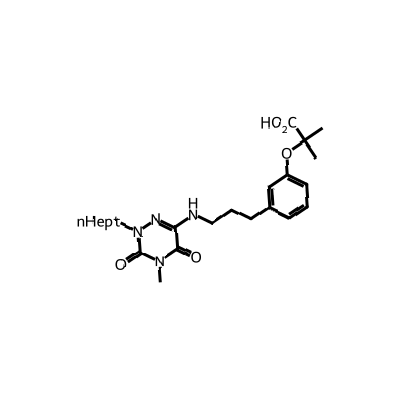 CCCCCCCn1nc(NCCCc2cccc(OC(C)(C)C(=O)O)c2)c(=O)n(C)c1=O